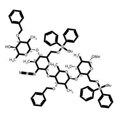 CO[C@@H]1OC(CO[Si](c2ccccc2)(c2ccccc2)C(C)(C)C)[C@@H](O[C@@H]2OC(C)C(O[C@@H]3OC(CO[Si](c4ccccc4)(c4ccccc4)C(C)(C)C)[C@@H](O[C@@H]4OC(C)[C@@H](O)[C@@H](OCc5ccccc5)C4C)[C@H](C)C3N=[N+]=[N-])[C@@H](OCc3ccccc3)C2C)[C@H](C)C1C